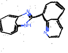 c1cnc2c(-c3nc4ccccc4[nH]3)cccc2c1